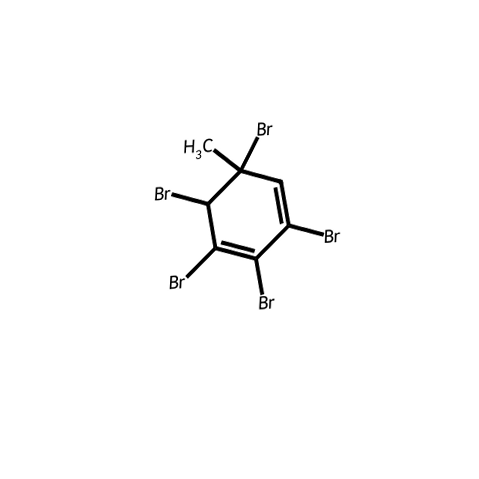 CC1(Br)C=C(Br)C(Br)=C(Br)C1Br